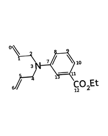 C=CCN(CC=C)c1cccc(C(=O)OCC)c1